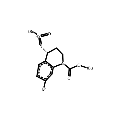 CC(C)(C)OC(=O)N1CC[C@@H](/N=[SH](=O)/C(C)(C)C)c2ccc(Br)cc21